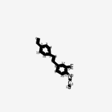 C=Cc1ccc(/C=C/c2ccc(N=C=S)c(F)c2)cc1